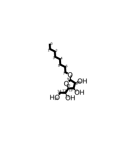 CCCCCCCCO[C@@H]1O[C@H]([C@H](O)CO)[C@H](O)[C@H]1O